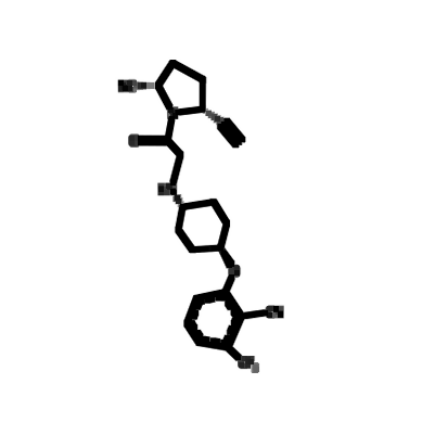 C#C[C@H]1CC[C@@H](C#N)N1C(=O)CN[C@H]1CC[C@H](Oc2cccc(C(F)(F)F)c2C#N)CC1